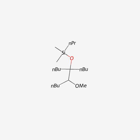 CCCCC(OC)C(CCCC)(CCCC)O[Si](C)(C)CCC